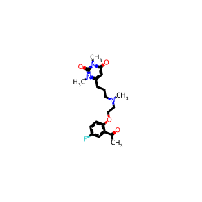 CC(=O)c1cc(F)ccc1OCCN(C)CCCc1cc(=O)n(C)c(=O)n1C